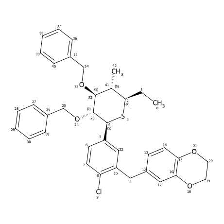 CC[C@H]1S[C@@H](c2ccc(Cl)c(Cc3ccc4c(c3)OCCO4)c2)[C@H](OCc2ccccc2)[C@@H](OCc2ccccc2)[C@@H]1C